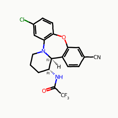 N#Cc1ccc2c(c1)Oc1ccc(Cl)cc1N1CCC[C@@H](NC(=O)C(F)(F)F)[C@H]21